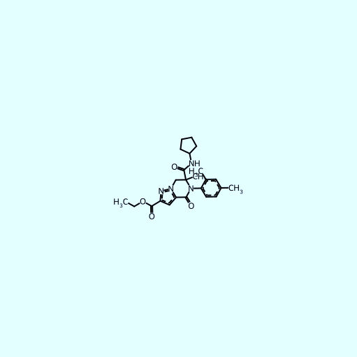 CCOC(=O)c1cc2n(n1)CC(C)(C(=O)NC1CCCC1)N(c1ccc(C)cc1C)C2=O